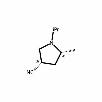 CC(C)N1C[C@@H](C#N)C[C@H]1C